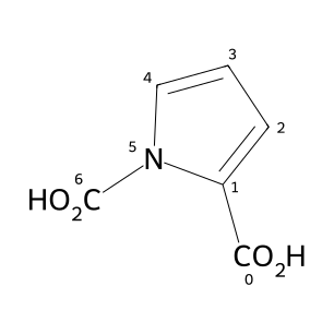 O=C(O)c1cccn1C(=O)O